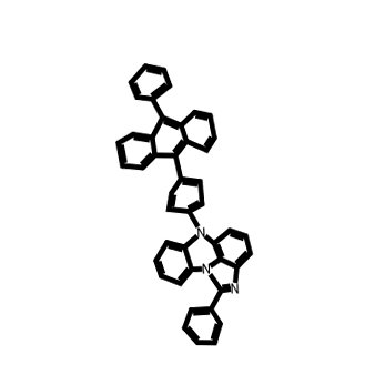 c1ccc(-c2c3ccccc3c(-c3ccc(N4c5ccccc5-n5c(-c6ccccc6)nc6cccc4c65)cc3)c3ccccc23)cc1